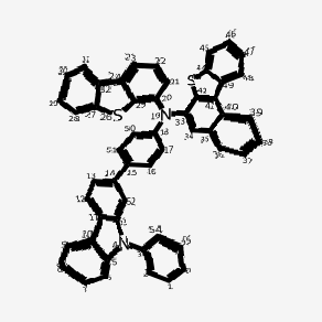 c1ccc(-n2c3ccccc3c3ccc(-c4ccc(N(c5cccc6c5sc5ccccc56)c5cc6ccccc6c6c5sc5ccccc56)cc4)cc32)cc1